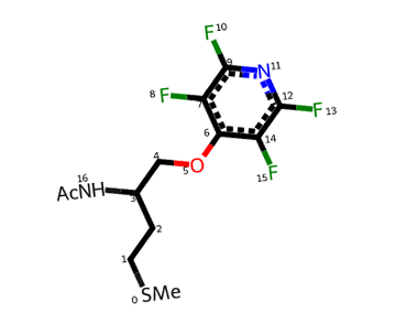 CSCCC(COc1c(F)c(F)nc(F)c1F)NC(C)=O